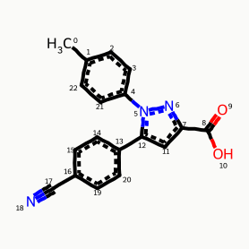 Cc1ccc(-n2nc(C(=O)O)cc2-c2ccc(C#N)cc2)cc1